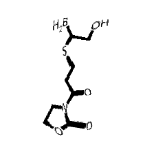 BC(CO)SCCC(=O)N1CCOC1=O